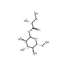 O=C(OC1O[C@H](CO)[C@@H](O)[C@H](O)[C@H]1O)[C@H](O)CO